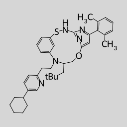 Cc1cccc(C)c1-c1cc2nc(n1)NSc1cccc(c1)N(CCc1ccc(C3CCCCC3)cn1)C(CC(C)(C)C)CO2